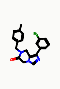 Cc1ccc(CN2Cc3c(-c4cccc(Br)c4)ncn3CC2=O)cc1